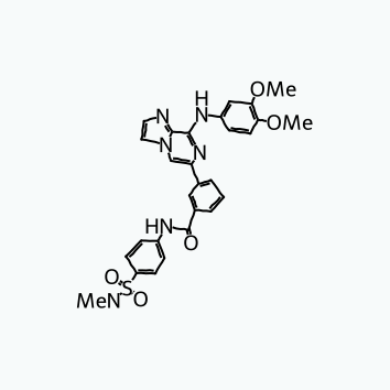 CNS(=O)(=O)c1ccc(NC(=O)c2cccc(-c3cn4ccnc4c(Nc4ccc(OC)c(OC)c4)n3)c2)cc1